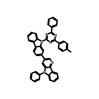 Cc1ccc(-c2nc(-c3ccccc3)nc(-n3c4ccccc4c4ccc(-c5cnc6c7ccccc7n(-c7ccccc7)c6c5)cc43)n2)cc1